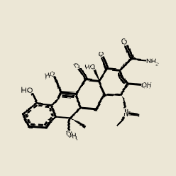 CN(C)[C@@H]1C(O)=C(C(N)=O)C(=O)[C@@]2(O)C(=O)C3=C(O)c4c(O)cccc4[C@@](C)(O)C3CC12